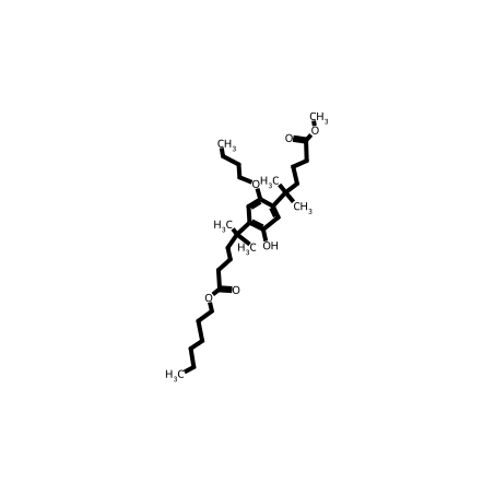 CCCCCCOC(=O)CCCC(C)(C)c1cc(OCCCC)c(C(C)(C)CCCC(=O)OC)cc1O